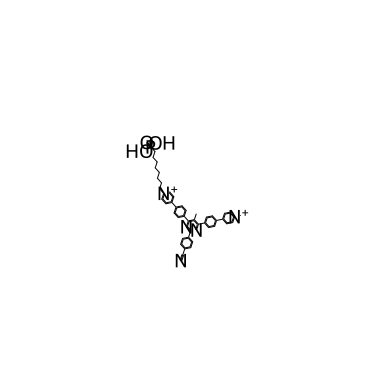 Cc1c(-c2ccc(-c3cc[n+](C)cc3)cc2)nc(-c2ccc(C#N)cc2)nc1-c1ccc(-c2cc[n+](CCCCCCCCP(=O)(O)O)cc2)cc1